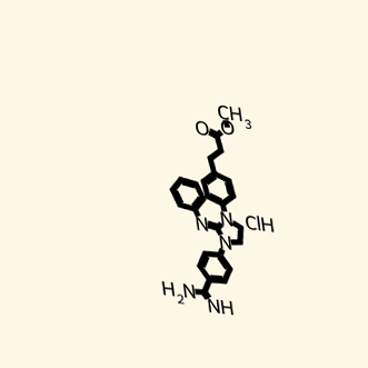 COC(=O)CCc1ccc(N2CCN(c3ccc(C(=N)N)cc3)C2=Nc2ccccc2)cc1.Cl